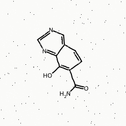 NC(=O)c1ccc2cncnc2c1O